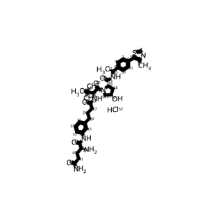 Cc1ncsc1-c1ccc([C@H](C)NC(=O)[C@@H]2C[C@@H](O)CN2C(=O)[C@@H](NC(=O)CCCc2cccc(NC(=O)[C@@H](N)CCC(N)=O)c2)C(C)(C)C)cc1.Cl